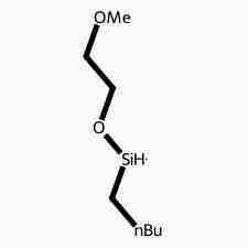 CCCCC[SiH]OCCOC